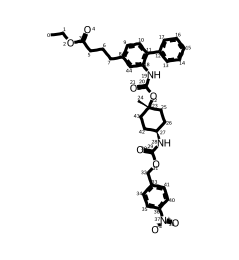 CCOC(=O)CCCc1ccc(-c2ccccc2)c(NC(=O)O[C@]2(C)CC[C@@H](NC(=O)OCc3ccc([N+](=O)[O-])cc3)CC2)c1